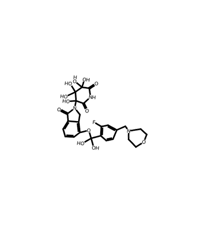 O=C1c2cccc(OC(O)(O)c3ccc(CN4CCOCC4)cc3F)c2CN1C1(O)C(=O)NC(=O)C(O)(O)C1(O)O